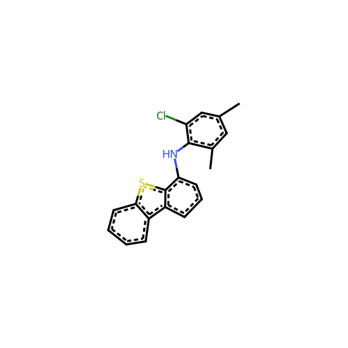 Cc1cc(C)c(Nc2cccc3c2sc2ccccc23)c(Cl)c1